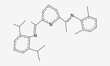 CC(=Nc1c(C)cccc1C)c1cccc(C(C)=Nc2c(C(C)C)cccc2C(C)C)n1